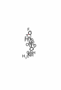 CNC(=O)Nc1ccc2c(c1)COCC21OC(=O)N(CC(=O)N(Cc2ccc(F)cc2)C(C2CC2)C(F)(F)F)C1=O